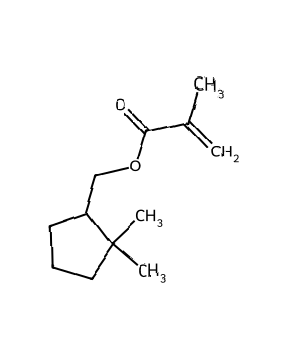 C=C(C)C(=O)OCC1CCCC1(C)C